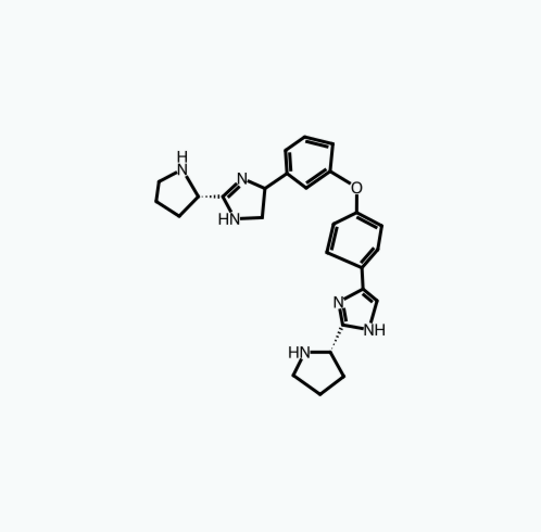 c1cc(Oc2ccc(-c3c[nH]c([C@@H]4CCCN4)n3)cc2)cc(C2CNC([C@@H]3CCCN3)=N2)c1